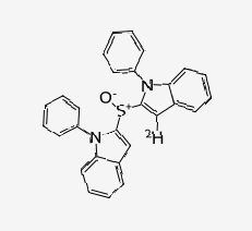 [2H]c1c([S+]([O-])c2cc3ccccc3n2-c2ccccc2)n(-c2ccccc2)c2ccccc12